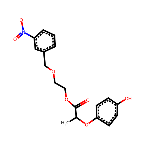 CC(Oc1ccc(O)cc1)C(=O)OCCOCc1cccc([N+](=O)[O-])c1